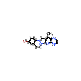 Cc1c2c(nc3nccnc13)N1CCc3cc(Br)ccc3N1C2